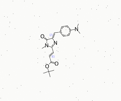 CN1C(=O)/C(=C/c2ccc(N(C)C)cc2)N=C1/C=C/C(=O)OC(C)(C)C